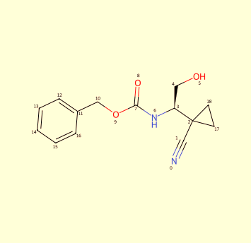 N#CC1([C@H](CO)NC(=O)OCc2ccccc2)CC1